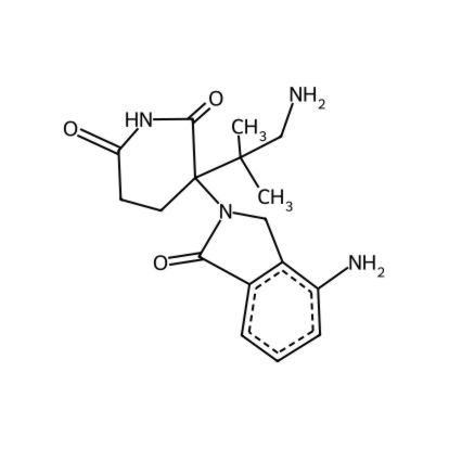 CC(C)(CN)C1(N2Cc3c(N)cccc3C2=O)CCC(=O)NC1=O